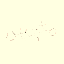 CC1(C)S[C@@H]2C(NC(=O)C(N)(N)c3ccccc3)C(=O)N2C1c1nnn[nH]1